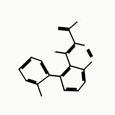 Cc1ccccc1-c1cccc2nnc(C(N)=O)c(N)c12